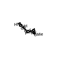 COc1cnc2c(-c3nc4cc(F)c(OCCOC(=O)Nc5ccc6[nH]ccc6c5)cc4s3)cc(C)cc2n1